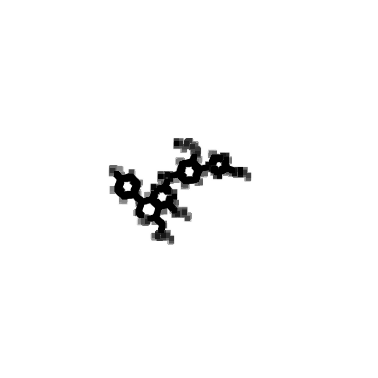 CCC1OCC(c2ccc(F)cc2)c2nc(Nc3ccc(-n4cnc(C)n4)c(OC)c3)nc(N)c21